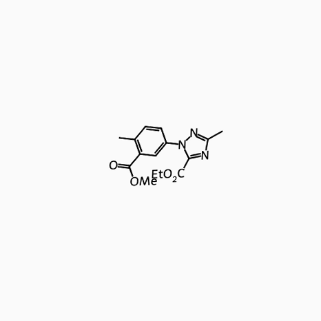 CCOC(=O)c1nc(C)nn1-c1ccc(C)c(C(=O)OC)c1